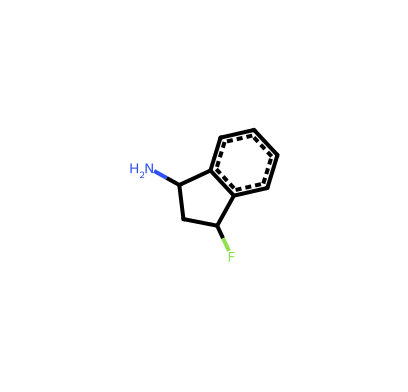 NC1CC(F)c2ccccc21